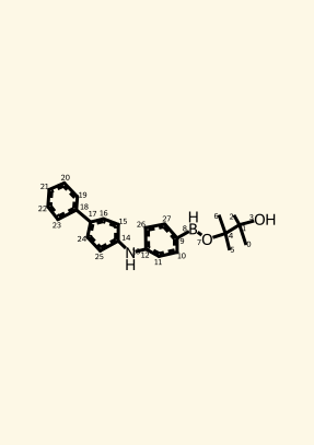 CC(C)(O)C(C)(C)OBc1ccc(Nc2ccc(-c3ccccc3)cc2)cc1